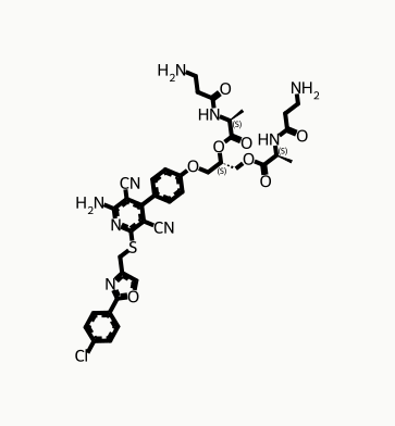 C[C@H](NC(=O)CCN)C(=O)OC[C@H](COc1ccc(-c2c(C#N)c(N)nc(SCc3coc(-c4ccc(Cl)cc4)n3)c2C#N)cc1)OC(=O)[C@H](C)NC(=O)CCN